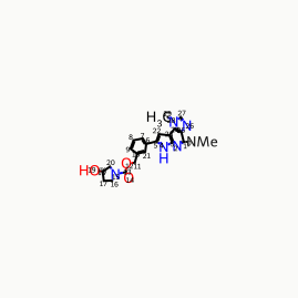 CNc1nc2[nH]c(-c3cccc(COC(=O)N4CC[C@@H](O)C4)c3)cc2c2c1ncn2C